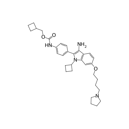 Nc1c(-c2ccc(NC(=O)OCC3CCC3)cc2)n(C2CCC2)c2cc(OCCCCN3CCCC3)ccc12